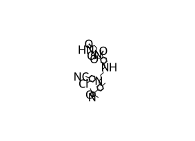 Cc1ccc(-c2c(C)noc2C)cc1N(CCCCNc1ccc2c(c1)C(=O)N(C1CCC(=O)NC1=O)C2=O)c1ccc(C#N)c(Cl)c1